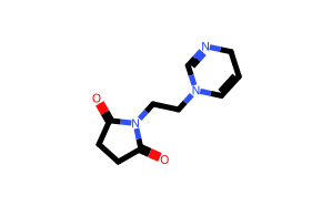 O=C1CCC(=O)N1CCN1C=CCN=C1